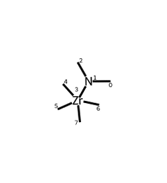 C[N](C)[Zr]([CH3])([CH3])([CH3])[CH3]